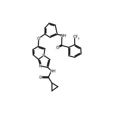 O=C(Nc1cccc(Oc2ccc3nc(NC(=O)C4CC4)cn3c2)c1)c1ccccc1C(F)(F)F